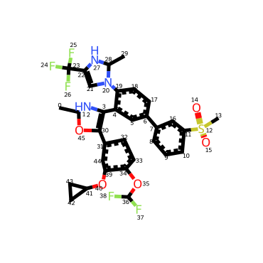 CC1NC(c2cc(-c3cccc(S(C)(=O)=O)c3)ccc2N2C=C(C(F)(F)F)NC2C)=C(c2ccc(OC(F)F)c(OC3CC3)c2)O1